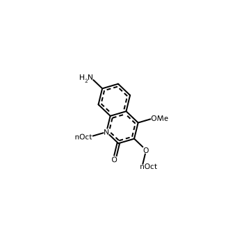 CCCCCCCCOc1c(OC)c2ccc(N)cc2n(CCCCCCCC)c1=O